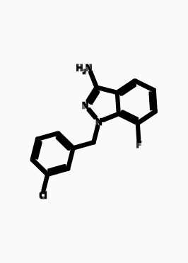 Nc1nn(Cc2cccc(Cl)c2)c2c(F)cccc12